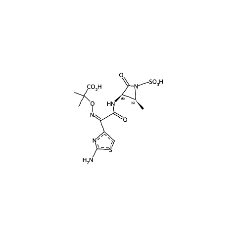 C[C@H]1[C@@H](NC(=O)C(=NOC(C)(C)C(=O)O)c2csc(N)n2)C(=O)N1S(=O)(=O)O